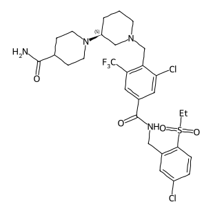 CCS(=O)(=O)c1ccc(Cl)cc1CNC(=O)c1cc(Cl)c(CN2CCC[C@H](N3CCC(C(N)=O)CC3)C2)c(C(F)(F)F)c1